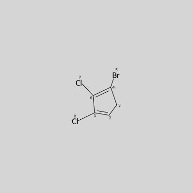 ClC1=CCC(Br)=C1Cl